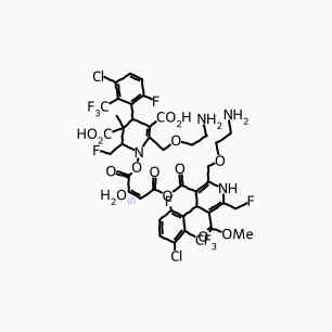 COC(=O)C1=C(CF)NC(COCCN)=C(C(=O)OC(=O)/C=C\C(=O)ON2C(COCCN)=C(C(=O)O)C(c3c(F)ccc(Cl)c3C(F)(F)F)C(C)(C(=O)O)C2CF)C1c1c(F)ccc(Cl)c1C(F)(F)F.O